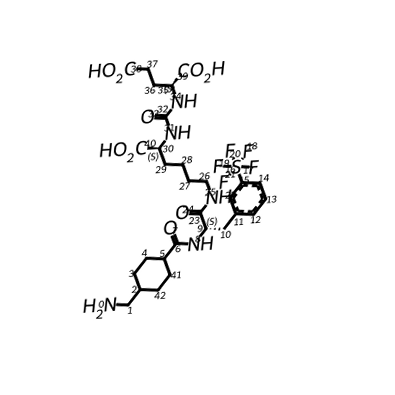 NCC1CCC(C(=O)N[C@@H](Cc2cccc(S(F)(F)(F)(F)F)c2)C(=O)NCCCC[C@H](NC(=O)N[C@@H](CCC(=O)O)C(=O)O)C(=O)O)CC1